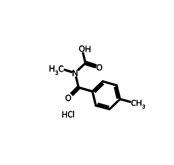 Cc1ccc(C(=O)N(C)C(=O)O)cc1.Cl